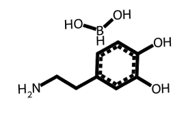 NCCc1ccc(O)c(O)c1.OBO